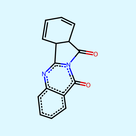 O=C1C2C=CC=CC2c2nc3ccccc3c(=O)n21